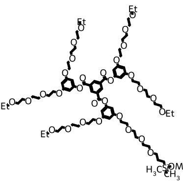 CCOCCOCCOCCOc1cc(OCCOCCOCCOCC)cc(OC(=O)c2cc(C(=O)Oc3cc(OCCOCCOCCOCC)cc(OCCOCCOCCOCC)c3)cc(C(=O)Oc3cc(OCCOCCOCCOCC)cc(OCCOCCOCCOCCC[Si](C)(C)OC)c3)c2)c1